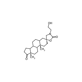 C[C@]12CC[C@@]3(CC1CCC1C2CC[C@]2(C)C(=O)CCC12)CN(CCO)C(=O)O3